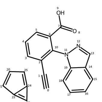 C#Cc1cccc(C(=O)O)c1-n1ncc2ccccc21.c1cc2cc-2c1